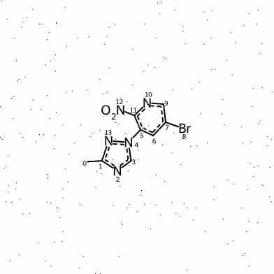 Cc1ncn(-c2cc(Br)cnc2[N+](=O)[O-])n1